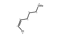 CC/C=C\CCCSC